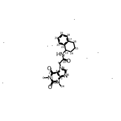 Cn1c(=O)c2c(ncn2CC(=O)NC2CCCc3ccccc32)n(C)c1=O